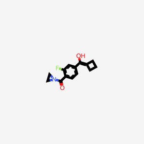 O=C(c1ccc(C(O)=C2CCC2)cc1F)N1CC1